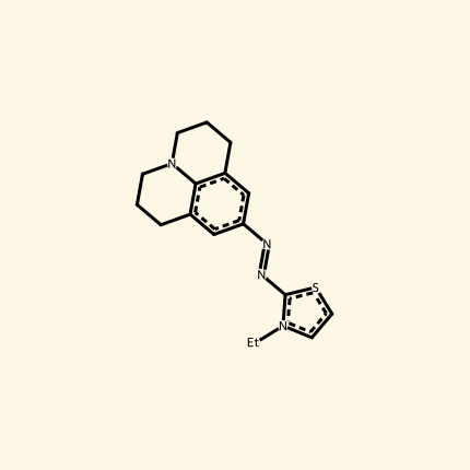 CC[n+]1ccsc1N=Nc1cc2c3c(c1)CCCN3CCC2